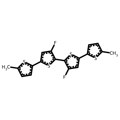 Cc1ccc(-c2cc(F)c(-c3sc(-c4ccc(C)s4)cc3F)s2)s1